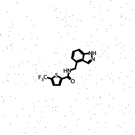 O=C(NCc1cccc2[nH]ncc12)c1ccc(C(F)(F)F)s1